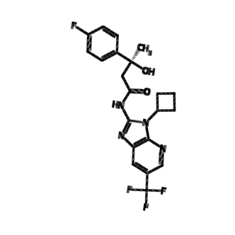 C[C@](O)(CC(=O)Nc1nc2cc(C(F)(F)F)cnc2n1C1CCC1)c1ccc(F)cc1